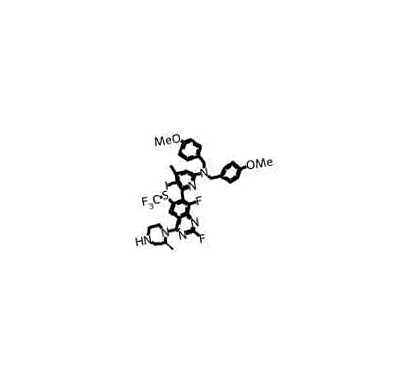 COc1ccc(CN(Cc2ccc(OC)cc2)c2cc(C)c(I)c(-c3c(SC(F)(F)F)cc4c(N5CCNC[C@@H]5C)nc(F)nc4c3F)n2)cc1